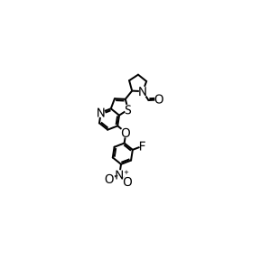 O=CN1CCCC1c1cc2nccc(Oc3ccc([N+](=O)[O-])cc3F)c2s1